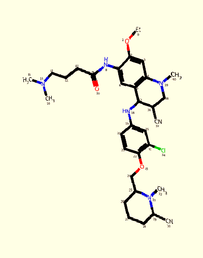 CCOc1cc2c(cc1NC(=O)CCCN(C)C)C(Nc1ccc(OCC3CCCC(C#N)N3C)c(Cl)c1)C(C#N)CN2C